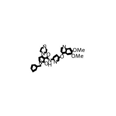 COc1cc2nccc(Oc3ccc(NC(=O)c4c(N5CCN(C)CC5)ccn(Cc5ccccc5)c4=O)nc3)c2cc1OC